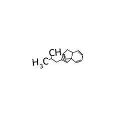 CC(C)CC1=CC23C=CC=CC2CC1C3